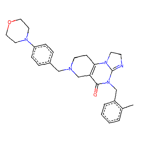 Cc1ccccc1CN1C(=O)C2=C(CCN(Cc3ccc(N4CCOCC4)cc3)C2)N2CCN=C12